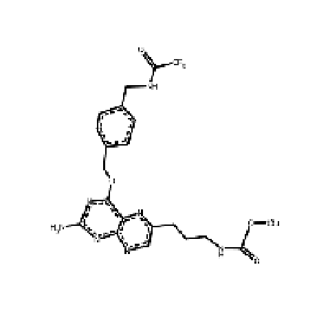 CC(C)(C)OC(=O)NCCCc1cnc2nc(N)nc(OCc3ccc(CNC(=O)C(F)(F)F)cc3)c2n1